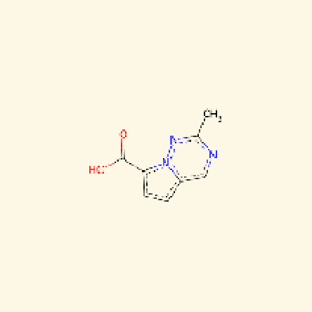 Cc1ncc2ccc(C(=O)O)n2n1